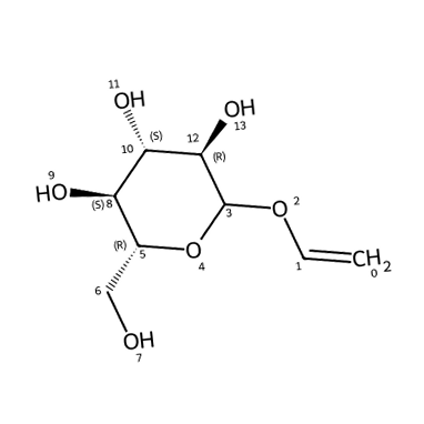 C=COC1O[C@H](CO)[C@@H](O)[C@H](O)[C@H]1O